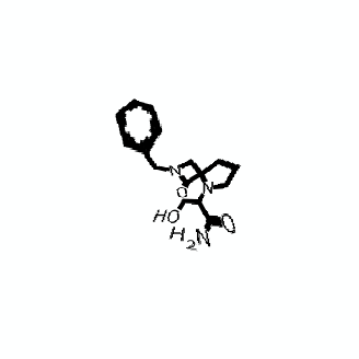 NC(=O)C(CO)N1CCCC12CN(Cc1ccccc1)C2=O